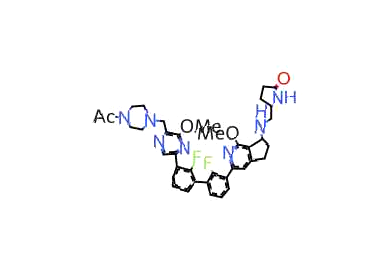 COc1nc(-c2cccc(-c3cccc(-c4cc5c(c(OC)n4)C(NCC4CCC(=O)N4)CC5)c3F)c2F)cnc1CN1CCN(C(C)=O)CC1